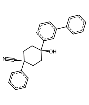 N#C[C@]1(c2ccccc2)CC[C@@](O)(c2cc(-c3ccccc3)ccn2)CC1